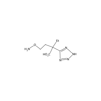 CCC(CCON)(C(=O)O)c1nn[nH]n1